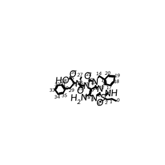 CCCS(=N)(=O)c1nc(N)c2c(n1)n(Cc1ccccc1)c(=O)n2C(=O)N(C)C(Cc1ccccc1)C(=O)O